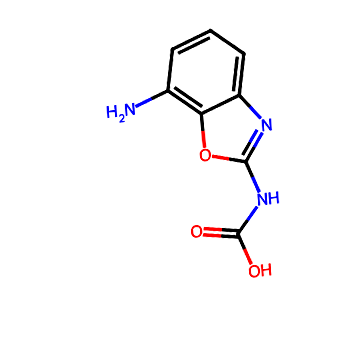 Nc1cccc2nc(NC(=O)O)oc12